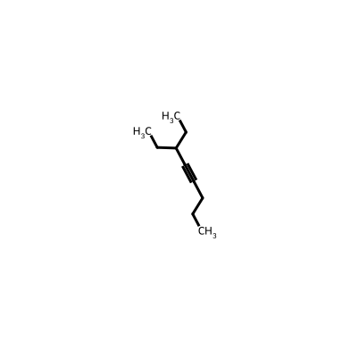 CCCC#CC(CC)CC